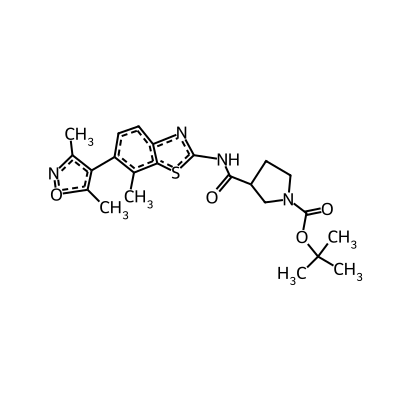 Cc1noc(C)c1-c1ccc2nc(NC(=O)C3CCN(C(=O)OC(C)(C)C)C3)sc2c1C